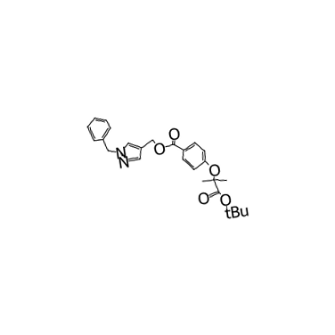 CC(C)(C)OC(=O)C(C)(C)Oc1ccc(C(=O)OCc2cnn(Cc3ccccc3)c2)cc1